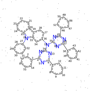 c1ccc(-c2nc(-c3ccccc3)nc(N(c3ccc4c5ccccc5n(-c5ccccc5)c4c3)c3nc(-c4ccccc4)nc(-c4ccccc4)n3)n2)cc1